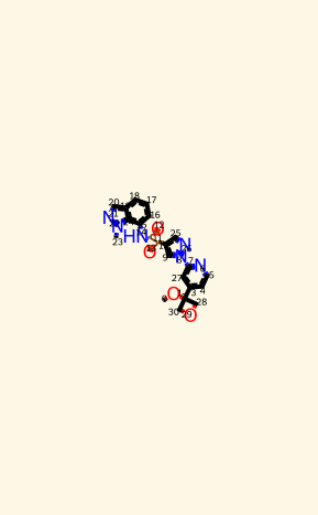 COC1(c2ccnc(-n3cc(S(=O)(=O)Nc4cccc5cnn(C)c45)cn3)c2)COC1